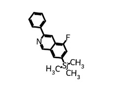 C[Si](C)(C)c1cc(F)c2cc(-c3ccccc3)ncc2c1